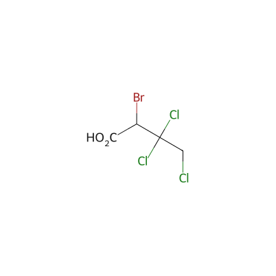 O=C(O)C(Br)C(Cl)(Cl)CCl